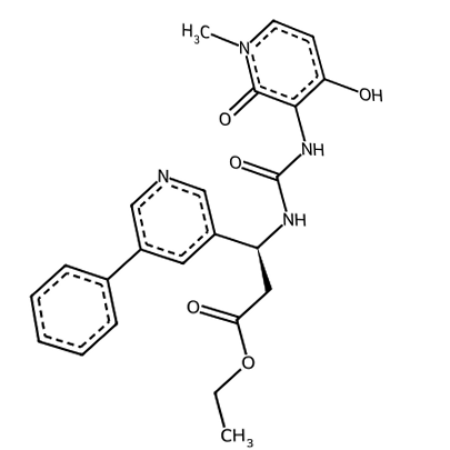 CCOC(=O)C[C@H](NC(=O)Nc1c(O)ccn(C)c1=O)c1cncc(-c2ccccc2)c1